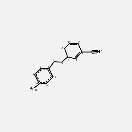 N#CC1=CC(CCc2ccc(Br)cc2)CC=C1